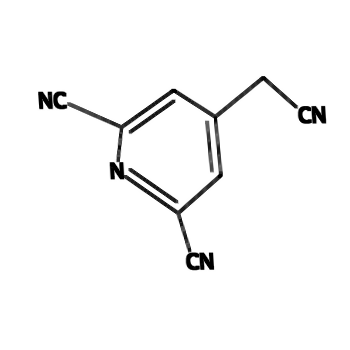 N#CCc1cc(C#N)nc(C#N)c1